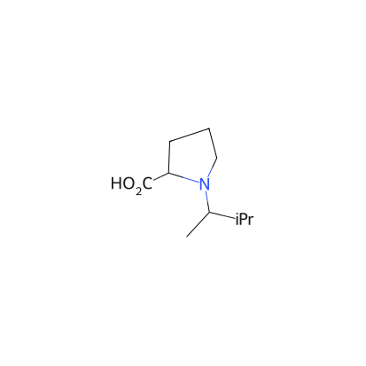 CC(C)C(C)N1CCCC1C(=O)O